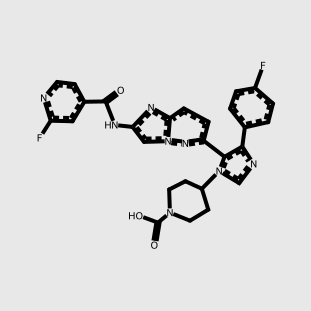 O=C(Nc1cn2nc(-c3c(-c4ccc(F)cc4)ncn3C3CCN(C(=O)O)CC3)ccc2n1)c1ccnc(F)c1